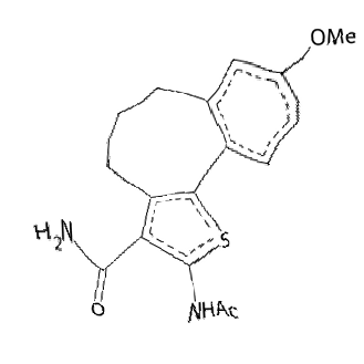 COc1ccc2c(c1)CCCc1c-2sc(NC(C)=O)c1C(N)=O